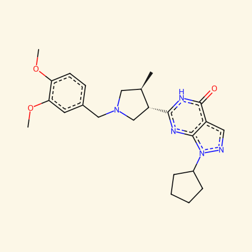 COc1ccc(CN2C[C@@H](C)[C@H](c3nc4c(cnn4C4CCCC4)c(=O)[nH]3)C2)cc1OC